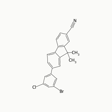 CC1(C)c2cc(C#N)ccc2-c2ccc(-c3cc(Cl)cc(Br)c3)cc21